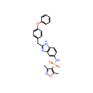 Cc1noc(C)c1S(=O)(=O)Nc1ccc2[nH]c(Cc3ccc(Oc4ccccc4)cc3)nc2c1